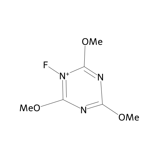 COc1nc(OC)[n+](F)c(OC)n1